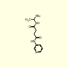 CC(NC(=O)CCC(=O)Nc1cccnc1)C(C)(C)C